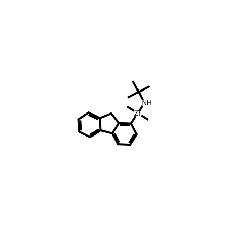 CC(C)(C)[NH][Zr]([CH3])([CH3])[c]1cccc2c1Cc1ccccc1-2